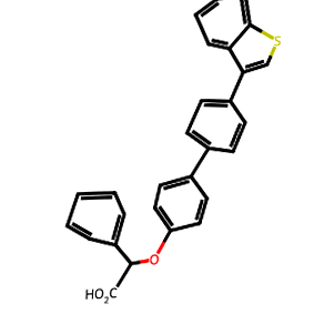 O=C(O)C(Oc1ccc(-c2ccc(-c3csc4ccccc34)cc2)cc1)c1ccccc1